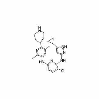 Cc1cc(C2CCNCC2)c(C)cc1Nc1ncc(Cl)c(Nc2cc(C3CC3)[nH]n2)n1